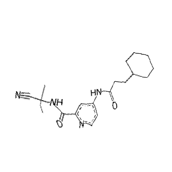 CC(C)(C#N)NC(=O)c1cc(NC(=O)CCC2CCCCC2)ccn1